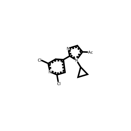 CC(=O)c1cnc(-c2cc(Cl)nc(Cl)c2)n1C1CC1